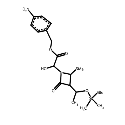 CCCC[Si](C)(C)OC(C)C1C(=O)N(C(O)C(=O)OCc2ccc([N+](=O)[O-])cc2)C1SC